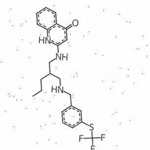 CCCC(CNCc1cccc(SC(F)(F)F)c1)CNc1cc(=O)c2ccccc2[nH]1